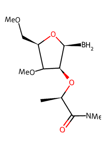 B[C@@H]1O[C@H](COC)C(OC)[C@@H]1O[C@H](C)C(=O)NC